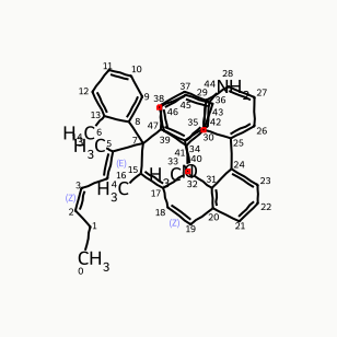 CC/C=C\C=C(/C)C1(c2ccccc2C)C(C)=C(/C=C\c2cccc(C3=CC=CCC3)c2N(C)c2ccccc2)Oc2cc(N)ccc21